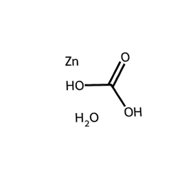 O.O=C(O)O.[Zn]